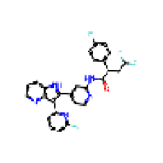 O=C(Nc1cc(-c2[nH]c3cccnc3c2-c2cccc(F)n2)ccn1)C(CC(F)F)c1ccc(F)cc1